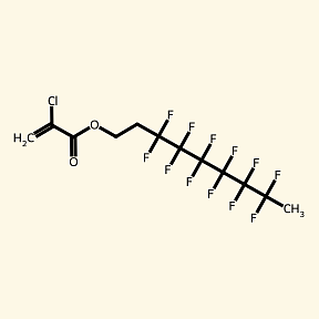 C=C(Cl)C(=O)OCCC(F)(F)C(F)(F)C(F)(F)C(F)(F)C(F)(F)C(C)(F)F